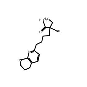 CCC(N)(CCCCc1ccc2c(n1)NCCC2)C(=O)O